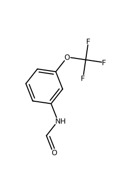 O=CNc1cccc(OC(F)(F)F)c1